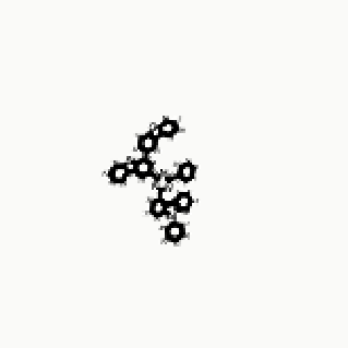 c1ccc(-c2nc(-c3cc(-c4ccc5oc6ccccc6c5c4)c4sc5ccccc5c4c3)nc(-c3cccc4c3c3ccccc3n4-c3ccccc3)n2)cc1